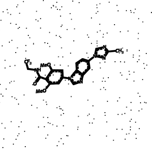 COc1cc(-n2cnc3cc(-n4cnc(C)n4)ccc32)cc(OC)c1C(=O)NCC(F)(F)F